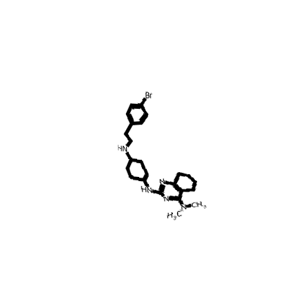 CN(C)c1nc(NC2CCC(NCCc3ccc(Br)cc3)CC2)nc2c1CCCC2